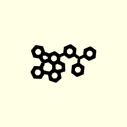 c1ccc(N(c2ccccc2)c2cccc(-c3cc4c5ccccc5n5c6ccccc6c6cccc7ccc3c(c76)c45)c2)cc1